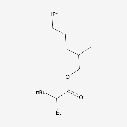 CCCCC(CC)C(=O)OCC(C)CCCC(C)C